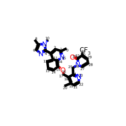 Cc1cc(-c2ncc(C)n2C)c2cccc(OCc3c(C)ccnc3Cn3cccc(C(F)(F)F)c3=O)c2n1